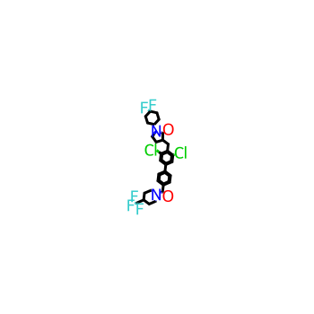 O=C(c1ccc(-c2cc(Cl)c(CC3CCN(C4CCC(F)(F)CC4)C3=O)c(Cl)c2)cc1)N1CCC(C(F)(F)F)CC1